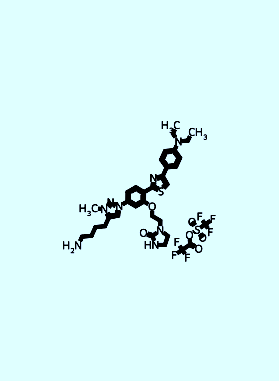 CCN(CC)c1ccc(-c2csc(-c3ccc(-n4cc(CCCCN)[n+](C)n4)cc3OCCN3CCNC3=O)n2)cc1.O=C(OS(=O)(=O)C(F)(F)F)C(F)(F)F